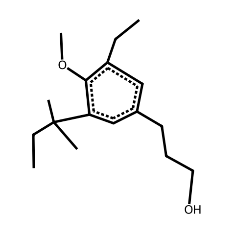 CCc1cc(CCCO)cc(C(C)(C)CC)c1OC